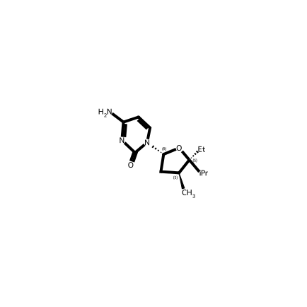 CC[C@@]1(C(C)C)O[C@@H](n2ccc(N)nc2=O)C[C@@H]1C